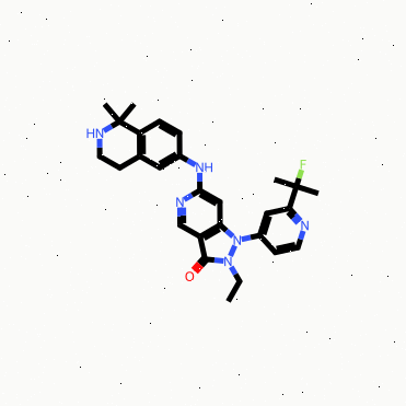 CCn1c(=O)c2cnc(Nc3ccc4c(c3)CCNC4(C)C)cc2n1-c1ccnc(C(C)(C)F)c1